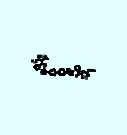 COC(=O)N[C@@H](C)C(=O)N1CCC[C@H]1c1ncc(-c2ccc(-c3ccc(-c4cnc([C@@H]5CCCN5C(=O)[C@H](C5CC5)N(C)C(=O)O)[nH]4)cc3)cc2)[nH]1